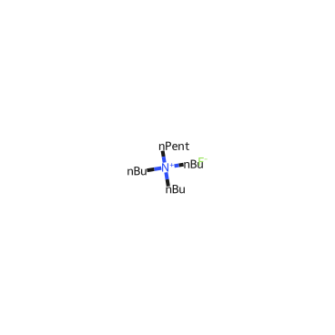 CCCCC[N+](CCCC)(CCCC)CCCC.[F-]